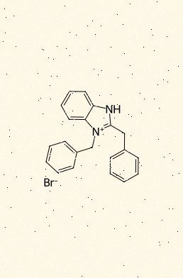 [Br-].c1ccc(Cc2[nH]c3ccccc3[n+]2Cc2ccccc2)cc1